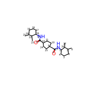 CC1CCCC(NC(=O)C2CCC(C(=O)NC3CCCC(C)C3C)CC2)C1C